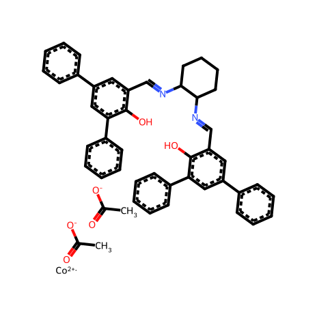 CC(=O)[O-].CC(=O)[O-].Oc1c(C=NC2CCCCC2N=Cc2cc(-c3ccccc3)cc(-c3ccccc3)c2O)cc(-c2ccccc2)cc1-c1ccccc1.[Co+2]